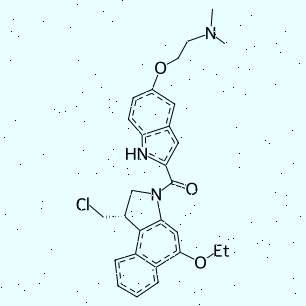 CCOc1cc2c(c3ccccc13)[C@H](CCl)CN2C(=O)c1cc2cc(OCCN(C)C)ccc2[nH]1